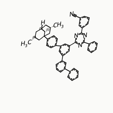 C[C@@H]1C[C@@H]2C[C@H](C)CC(c3ccc(-c4cc(-c5cccc(-c6ccccc6)c5)cc(-c5nc(-c6ccccc6)nc(-c6cccc(C#N)c6)n5)c4)cc3)(C1)C2